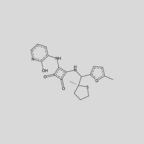 Cc1ccc(C(Nc2c(Nc3cccnc3O)c(=O)c2=O)[C@]2(C)CCCS2)o1